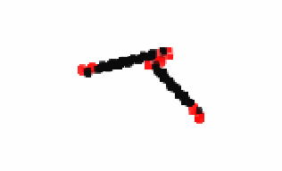 O=[C]OCCCCCCCCCCC(COC=O)OC(=O)CCCCCCCCCCOC=O